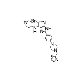 CN1CCC(Nc2c(Br)cnc3[nH]c(-c4ccc(N5CCN(Cc6nccs6)CC5)cc4)nc23)CC1